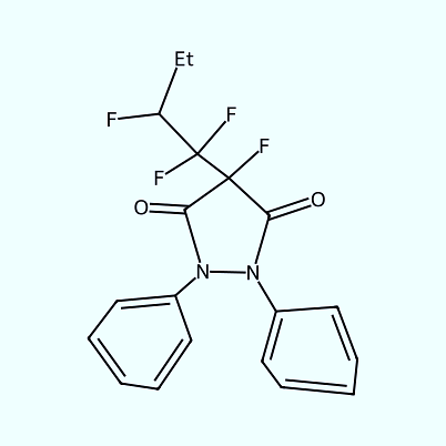 CCC(F)C(F)(F)C1(F)C(=O)N(c2ccccc2)N(c2ccccc2)C1=O